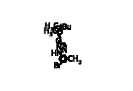 Cc1cc(Br)cc(Nc2nccc(OCCO[Si](C)(C)C(C)(C)C)n2)c1